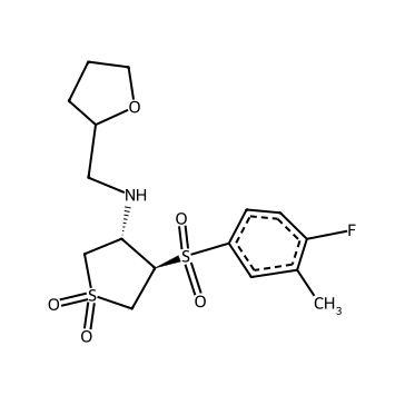 Cc1cc(S(=O)(=O)[C@H]2CS(=O)(=O)C[C@@H]2NCC2CCCO2)ccc1F